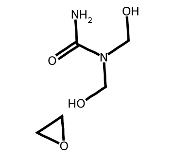 C1CO1.NC(=O)N(CO)CO